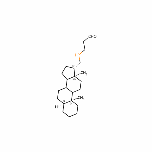 C[C@]12CCC3C(CC[C@@H]4CCCC[C@]34C)C1CC[C@@H]2CPCCC=O